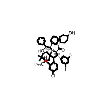 CC1(C)CCC2(CC1)C(c1ccc(Cl)cc1NC=O)[C@@H](c1cc(F)cc(I)c1)[C@H](C(=O)N[C@H]1CC[C@H](O)CC1)N2[C@H](c1ccccc1)[C@@H](O)c1ccccc1